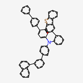 c1c(-c2ccccc2N(C2=CC=C(c3ccc(-c4ccccc4)cc3)CC2)c2ccc(-c3cccc(-c4cccc5ccccc45)c3)cc2)cc2c(c#1)sc1ccccc12